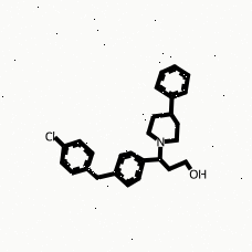 OCCC(c1ccc(Cc2ccc(Cl)cc2)cc1)N1CCC(c2ccccc2)CC1